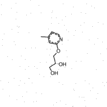 Cc1ccnc(OC[C@H](O)CO)c1